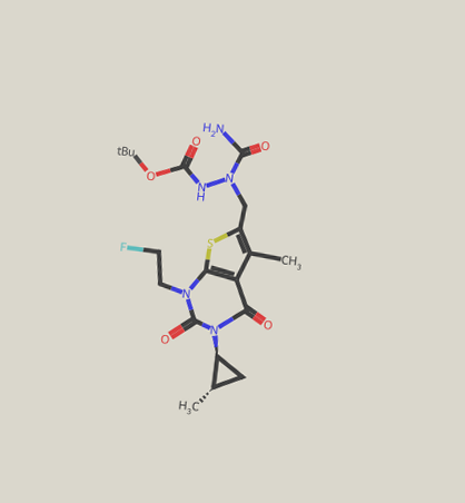 Cc1c(CN(NC(=O)OC(C)(C)C)C(N)=O)sc2c1c(=O)n([C@H]1C[C@@H]1C)c(=O)n2CCF